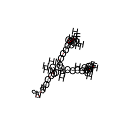 O=C(CCC(O)C(NC(=O)COCCOCCOCCn1ccc2c(CN3CCCCC3c3ccccc3)cccc21)C(O)CCC(=O)NCCOCCOCCOCCOC[C@@]12CO[C@@H](O1)[C@H](NC(=O)C(F)(F)F)[C@@H](O)[C@H]2O)NCCOCCOCCOCCOC[C@@]12CO[C@@H](O1)[C@H](NC(=O)C(F)(F)F)[C@@H](O)[C@H]2O